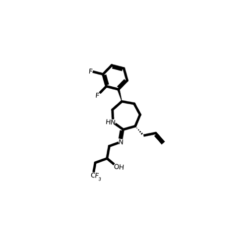 C=CC[C@H]1CC[C@H](c2cccc(F)c2F)CN/C1=N\CC(O)CC(F)(F)F